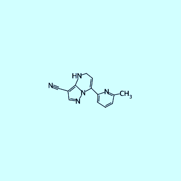 Cc1cccc(C2=CCNc3c(C#N)cnn32)n1